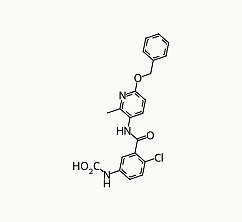 Cc1nc(OCc2ccccc2)ccc1NC(=O)c1cc(NC(=O)O)ccc1Cl